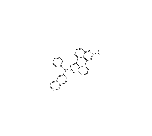 CC(C)c1cc2cccc3c4cc(N(c5ccccc5)c5ccc6ccccc6c5)cc5cccc(c(c1)c23)c54